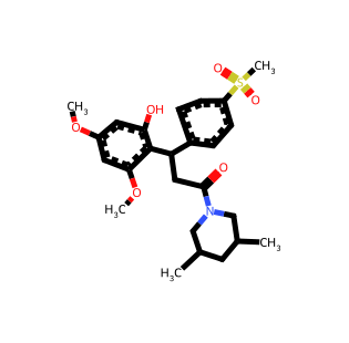 COc1cc(O)c(C(CC(=O)N2CC(C)CC(C)C2)c2ccc(S(C)(=O)=O)cc2)c(OC)c1